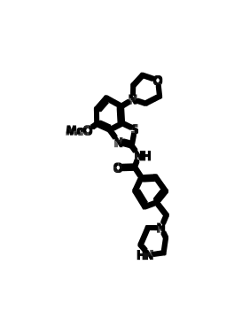 COc1ccc(N2CCOCC2)c2sc(NC(=O)c3ccc(CN4CCNCC4)cc3)nc12